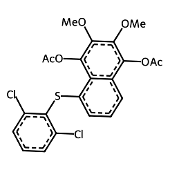 COc1c(OC)c(OC(C)=O)c2c(Sc3c(Cl)cccc3Cl)cccc2c1OC(C)=O